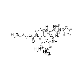 C=CCCOC(=O)N1CCC(Nc2nc(N[C@H]3CC[C@H](N)CC3)nc3c2ncn3C2CCCC2)CC1.Cl.Cl